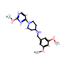 COc1cc(CNC2CCN(c3ccnc(OC)n3)CC2)cc(OC)c1